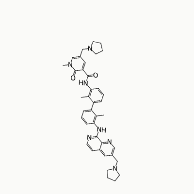 Cc1c(NC(=O)c2cc(CN3CCCC3)cn(C)c2=O)cccc1-c1cccc(Nc2nccc3cc(CN4CCCC4)cnc23)c1C